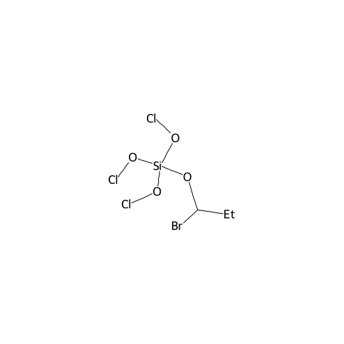 CCC(Br)O[Si](OCl)(OCl)OCl